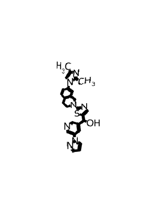 Cc1cn(-c2ccc3c(c2)CN(c2ncc(C(O)c4cncc(-n5cccn5)c4)s2)CC3)c(C)n1